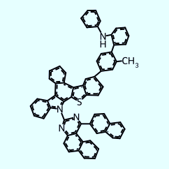 Cc1cc(-c2ccc3sc4c(c3c2)c2ccccc2c2c3ccccc3n(-c3nc(-c5ccc6ccccc6c5)c5c(ccc6ccccc65)n3)c42)ccc1-c1ccccc1Nc1ccccc1